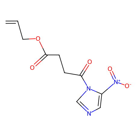 C=CCOC(=O)CCC(=O)n1cncc1[N+](=O)[O-]